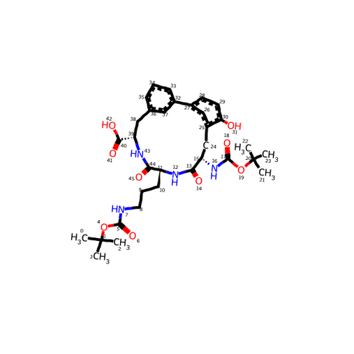 CC(C)(C)OC(=O)NCCC[C@@H]1NC(=O)[C@@H](NC(=O)OC(C)(C)C)Cc2cc(ccc2O)-c2cccc(c2)C[C@@H](C(=O)O)NC1=O